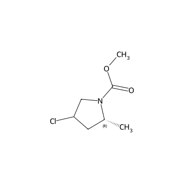 COC(=O)N1CC(Cl)C[C@H]1C